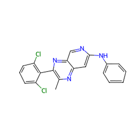 Cc1nc2cc(Nc3ccccc3)ncc2nc1-c1c(Cl)cccc1Cl